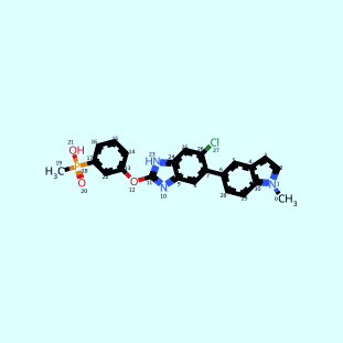 Cn1ccc2cc(-c3cc4nc(Oc5cccc(P(C)(=O)O)c5)[nH]c4cc3Cl)ccc21